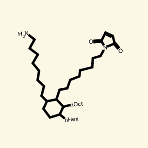 CCCCCCCCC1C(CCCCCC)CCC(CCCCCCCCN)C1CCCCCCCCN1C(=O)C=CC1=O